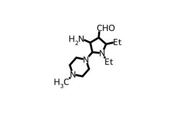 CCC1C(C=O)C(N)C(N2CCN(C)CC2)N1CC